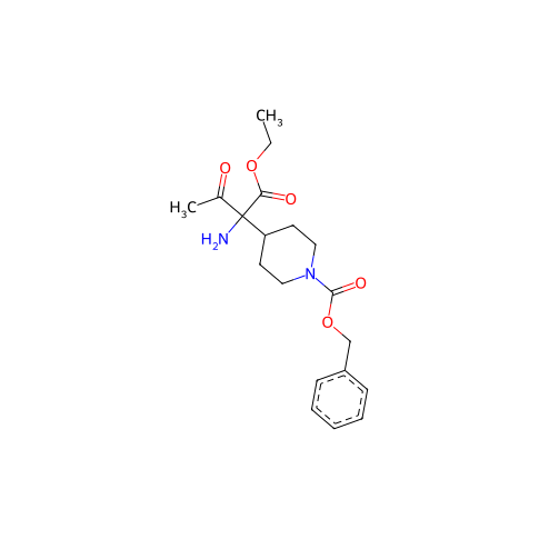 CCOC(=O)C(N)(C(C)=O)C1CCN(C(=O)OCc2ccccc2)CC1